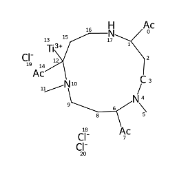 CC(=O)C1CCN(C)C(C(C)=O)CCN(C)[C]([Ti+3])(C(C)=O)CCN1.[Cl-].[Cl-].[Cl-]